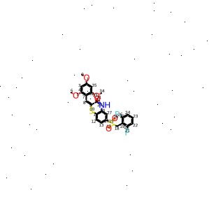 COc1cc(OC)c(/C=C2/Sc3ccc(S(=O)(=O)Cc4c(F)cccc4F)cc3NC2=O)c(OC)c1